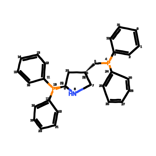 c1ccc(P(C[C@@H]2CN[C@@H](P(c3ccccc3)c3ccccc3)C2)c2ccccc2)cc1